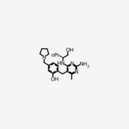 CCC[C@@H](CO)Nc1nc(N)nc(C)c1Cc1ccc(CN2CCCC2)cc1O